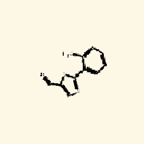 Cc1ccccc1-c1ncc(C=O)s1